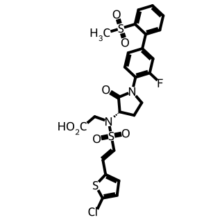 CS(=O)(=O)c1ccccc1-c1ccc(N2CC[C@H](N(CC(=O)O)S(=O)(=O)/C=C/c3ccc(Cl)s3)C2=O)c(F)c1